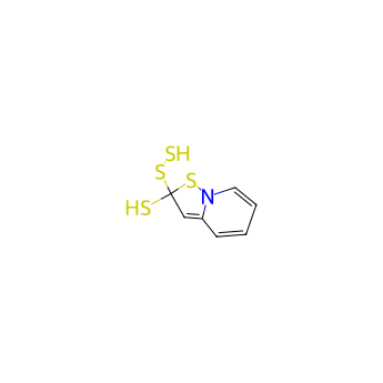 SSC1(S)C=C2C=CC=CN2S1